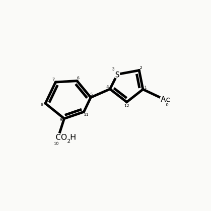 CC(=O)c1csc(-c2cccc(C(=O)O)c2)c1